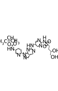 CC(C)(C)OC(=O)Nc1ccc(-n2ncc3cnc(Nc4cnc(NS(=O)(=O)CCC(O)CO)nc4)nc32)nc1